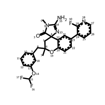 CN1C(=O)C2(CC(C)(Cc3cccc(OC(F)F)c3)Oc3ccc(-c4cccnc4F)cc32)N=C1N